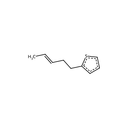 CC=CCCc1cccs1